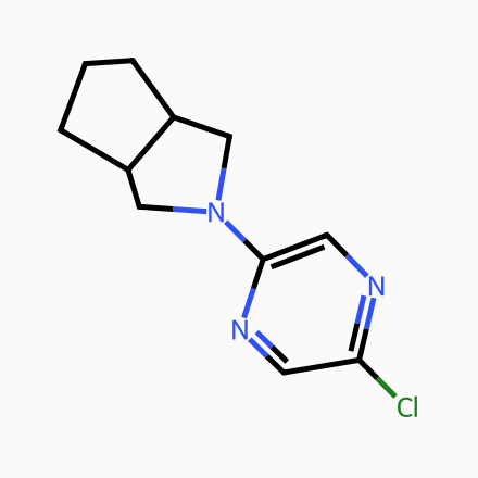 Clc1cnc(N2CC3CCCC3C2)cn1